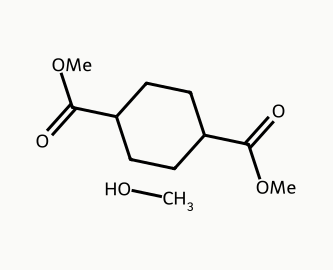 CO.COC(=O)C1CCC(C(=O)OC)CC1